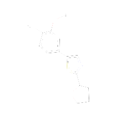 CC(C)Oc1cc(-c2cnc(C3CCCO3)s2)ccc1C#N